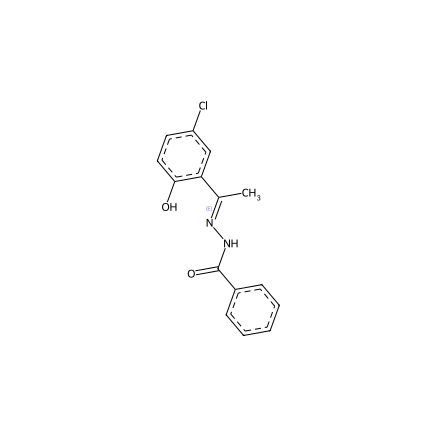 C/C(=N\NC(=O)c1ccccc1)c1cc(Cl)ccc1O